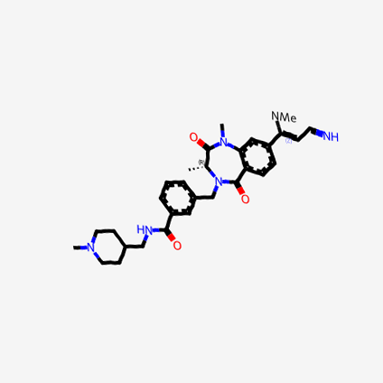 CN/C(=C\C=N)c1ccc2c(c1)N(C)C(=O)[C@@H](C)N(Cc1cccc(C(=O)NCC3CCN(C)CC3)c1)C2=O